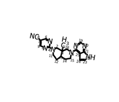 CC12CN(c3ncc(C#N)cn3)CCC1CCN(c1ncnc3[nH]ccc13)C2